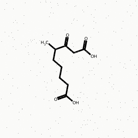 CC(CCCCC(=O)O)C(=O)CC(=O)O